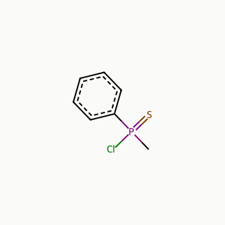 CP(=S)(Cl)c1ccccc1